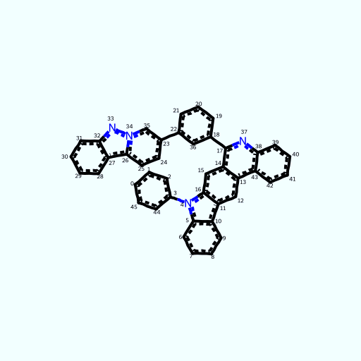 c1ccc(-n2c3ccccc3c3cc4c(cc32)c(-c2cccc(-c3ccc5c6ccccc6nn5c3)c2)nc2ccccc24)cc1